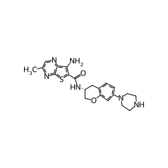 Cc1cnc2c(N)c(C(=O)N[C@H]3COc4cc(N5CCNCC5)ccc4C3)sc2n1